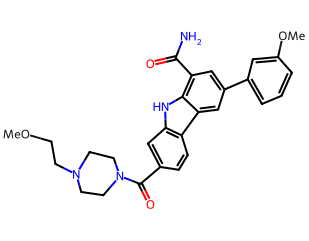 COCCN1CCN(C(=O)c2ccc3c(c2)[nH]c2c(C(N)=O)cc(-c4cccc(OC)c4)cc23)CC1